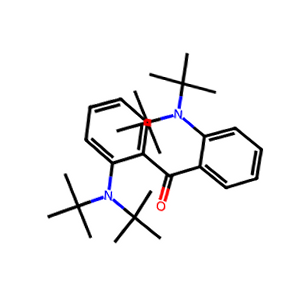 CC(C)(C)N(c1ccccc1C(=O)c1ccccc1N(C(C)(C)C)C(C)(C)C)C(C)(C)C